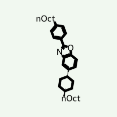 CCCCCCCCc1ccc(-c2nc3cc([C@H]4CC[C@H](CCCCCCCC)CC4)ccc3o2)cc1